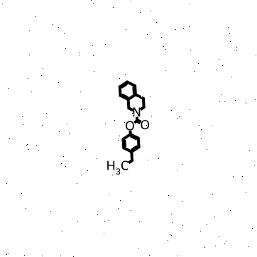 CCc1ccc(OC(=O)N2CCc3ccccc3C2)cc1